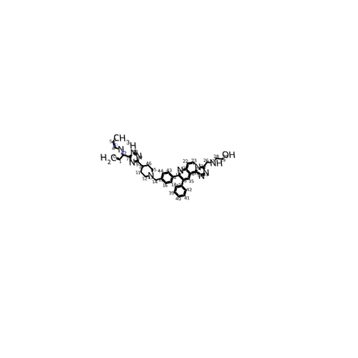 C=C/C(=N\C=C/C)c1nc(C2CCN(Cc3ccc(-c4nc5ccn6c(CNCCO)nnc6c5cc4-c4ccccc4)cc3)CC2)n[nH]1